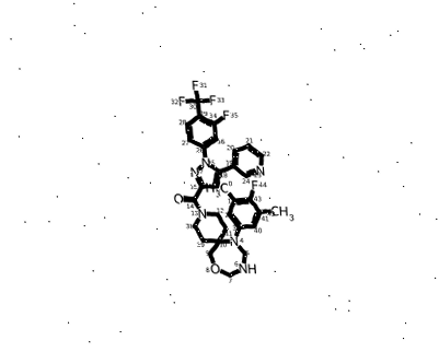 Cc1cc(N2CNCOCC23CCN(C(=O)c2cc(-c4cccnc4)n(-c4ccc(C(F)(F)F)c(F)c4)n2)CC3)cc(C)c1F